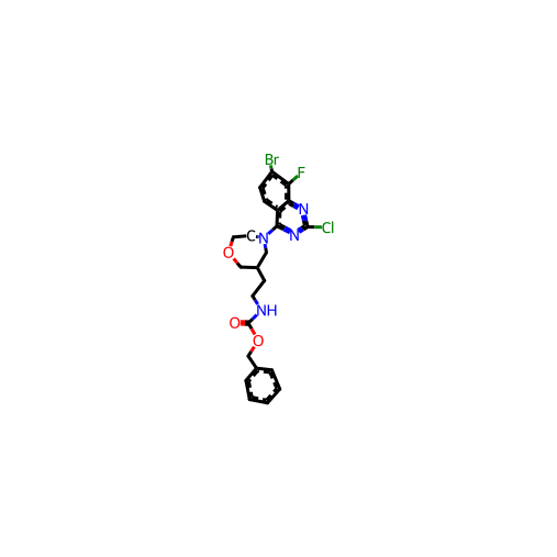 O=C(NCCC1COCCN(c2nc(Cl)nc3c(F)c(Br)ccc23)C1)OCc1ccccc1